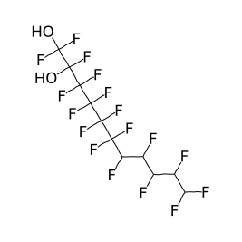 OC(F)(F)C(O)(F)C(F)(F)C(F)(F)C(F)(F)C(F)(F)C(F)C(F)C(F)C(F)C(F)F